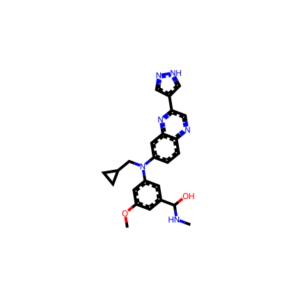 CNC(O)c1cc(OC)cc(N(CC2CC2)c2ccc3ncc(-c4cn[nH]c4)nc3c2)c1